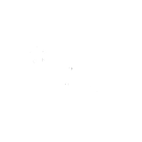 CC1(C)c2ccccc2-c2cc3c(cc21)Oc1ccc(B2OC(C)(C)C(C)(C)O2)cc1O3